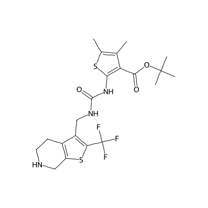 Cc1sc(NC(=O)NCc2c(C(F)(F)F)sc3c2CCNC3)c(C(=O)OC(C)(C)C)c1C